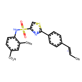 CO/C=C/c1ccc(-c2nc(S(=O)(=O)Nc3ccc(C(=O)O)cc3OC)cs2)cc1